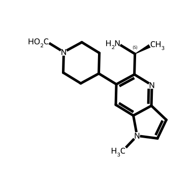 C[C@H](N)c1nc2ccn(C)c2cc1C1CCN(C(=O)O)CC1